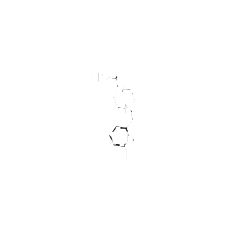 O=C(S)N1CCN(Cc2cccc(F)n2)CC1